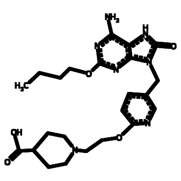 CCCCOc1nc(N)c2[nH]c(=O)n(Cc3ccc(OCCN4CCC(C(=O)O)CC4)nc3)c2n1